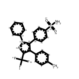 Cc1ccc(-c2c(C(F)(F)F)nn(-c3ccccc3)c2-c2ccc(S(N)(=O)=O)cc2)cc1